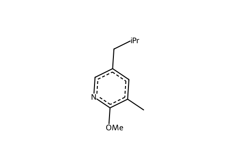 COc1ncc(CC(C)C)cc1C